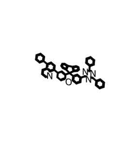 C1=C2Oc3ccc(-c4nc(-c5ccccc5)nc(-c5ccccc5)n4)cc3C3(C2=CC(c2ccc(-c4ccccc4)c4cccnc24)C1)c1ccccc1-c1ccccc13